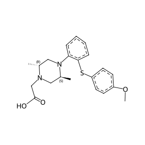 COc1ccc(Sc2ccccc2N2C[C@@H](C)N(CC(=O)O)C[C@@H]2C)cc1